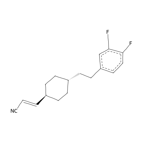 N#C/C=C/[C@H]1CC[C@H](CCc2ccc(F)c(F)c2)CC1